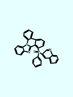 S=P(c1ccccc1)(c1cnc2ccccc2c1)c1cccc2c3ccccc3n3c4ccccc4nc3c12